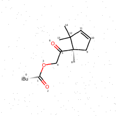 CC[C@@H](C)C(=O)OCC(=O)[C@]1(C)CC=CC1(C)C